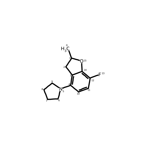 CC1Cc2c(N3CCCC3)ccc(F)c2O1